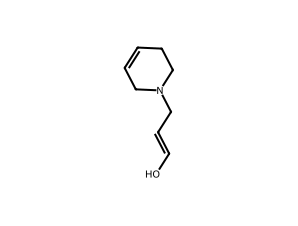 OC=CCN1CC=CCC1